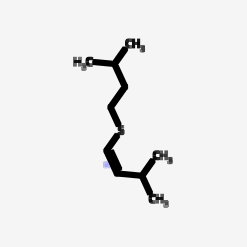 CC(C)/C=C\SCCC(C)C